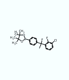 CC1(C)OB(c2ccc(C(F)(F)c3cccc(Cl)c3F)cc2)OC1(C)C